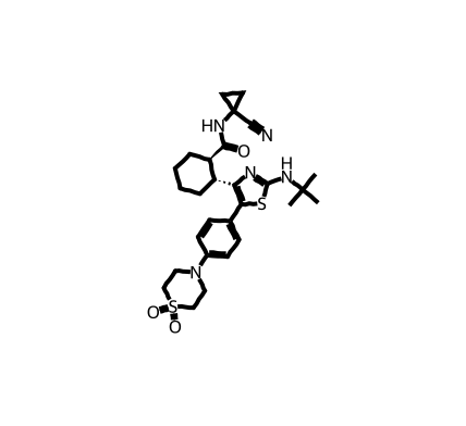 CC(C)(C)Nc1nc([C@@H]2CCCC[C@H]2C(=O)NC2(C#N)CC2)c(-c2ccc(N3CCS(=O)(=O)CC3)cc2)s1